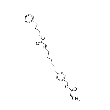 C=CC(=O)OCc1ccc(CCCCCC/C=C/C(=O)OCCCCc2ccccc2)cc1